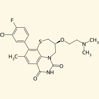 Cc1cc2c(=O)[nH]c(=O)n3c2c(c1-c1ccc(F)c(Cl)c1)SC[C@@H](OCCN(C)C)C3